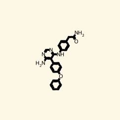 NC(=O)Cc1ccc(Nc2ncnc(N)c2-c2ccc(Oc3ccccc3)cc2)cc1